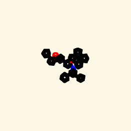 c1ccc(-c2cc(-c3ccccc3)cc(N(c3ccc(-c4ccc5oc6c(-c7ccccc7)cccc6c5c4)cc3)c3cccc4c3-c3ccccc3C43c4ccccc4-c4ccccc43)c2)cc1